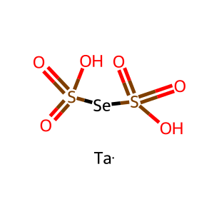 O=S(=O)(O)[Se]S(=O)(=O)O.[Ta]